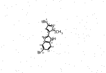 Cn1nc(C(C)(C)C)cc1-c1nc2cc(Br)ccc2[nH]1